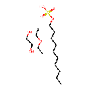 CCCCCCCCCCOS(=O)(=O)O.CCOCC.OCCO